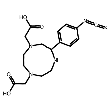 O=C(O)CN1CCNC(c2ccc(N=C=S)cc2)CN(CC(=O)O)CC1